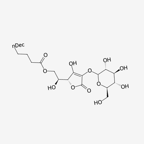 CCCCCCCCCCCCCC(=O)OC[C@H](O)[C@H]1OC(=O)C(OC2O[C@H](CO)[C@@H](O)[C@H](O)[C@H]2O)=C1O